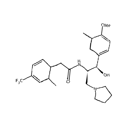 COC1=CC=C([C@@H](O)[C@@H](CN2CCCC2)NC(=O)CC2C=CC(C(F)(F)F)=CC2C)CC1C